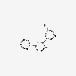 Cc1ccc(-c2ccccn2)cc1-c1cncc(Br)c1